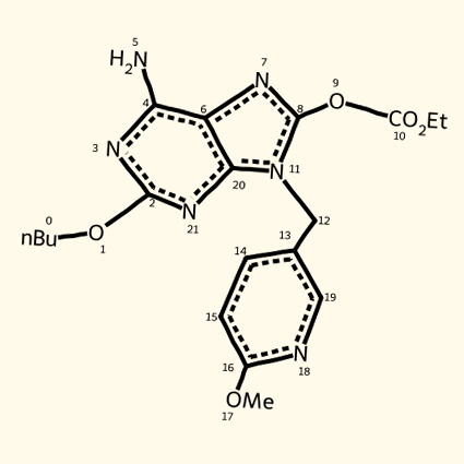 CCCCOc1nc(N)c2nc(OC(=O)OCC)n(Cc3ccc(OC)nc3)c2n1